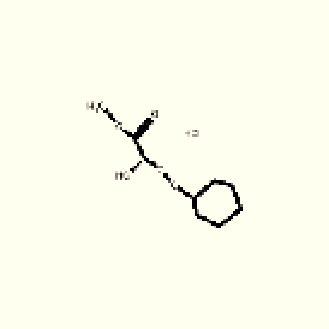 COC(=O)[C@H](O)CCC1CCCCC1.Cl